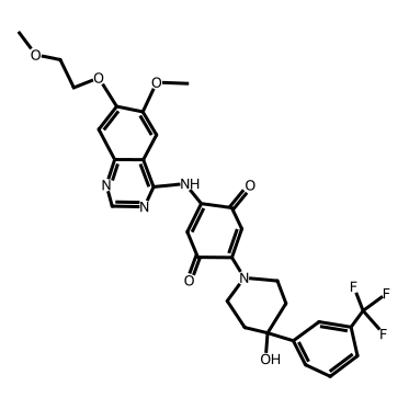 COCCOc1cc2ncnc(NC3=CC(=O)C(N4CCC(O)(c5cccc(C(F)(F)F)c5)CC4)=CC3=O)c2cc1OC